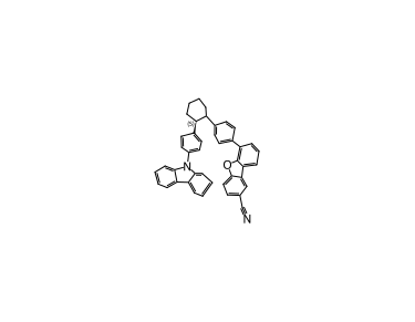 N#Cc1ccc2oc3c(-c4ccc(C5CCCC[C@@H]5c5ccc(-n6c7ccccc7c7ccccc76)cc5)cc4)cccc3c2c1